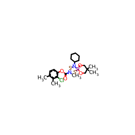 Cc1ccc(OC(=O)N(C)SN(C2CCCCC2)P2(=S)OCC(C)(C)CO2)c(Cl)c1C